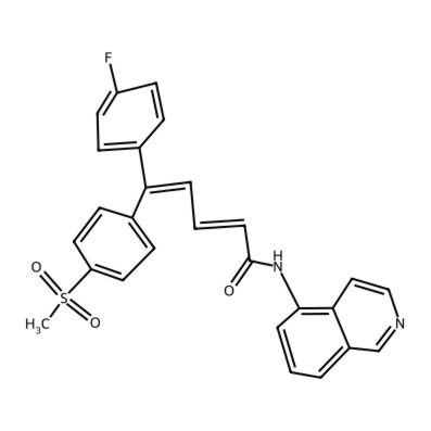 CS(=O)(=O)c1ccc(C(=CC=CC(=O)Nc2cccc3cnccc23)c2ccc(F)cc2)cc1